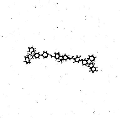 CC1(C)c2cc(/C=C/c3ccc(-c4ccc5c(c4)-c4ccccc4[Si]54Cc5ccccc5C4)cc3)ccc2-c2ccc(/C=C/c3ccc(-c4ccc5c(c4)-c4ccccc4[Si]54Cc5ccccc5C4)cc3)cc21